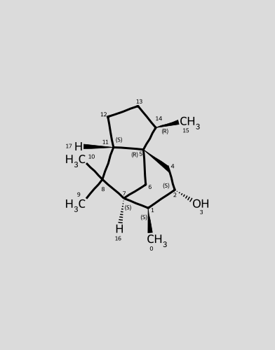 C[C@@H]1[C@@H](O)C[C@@]23C[C@@H]1C(C)(C)[C@@H]2CC[C@H]3C